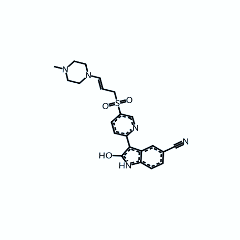 CN1CCN(C=CCS(=O)(=O)c2ccc(-c3c(O)[nH]c4ccc(C#N)cc34)nc2)CC1